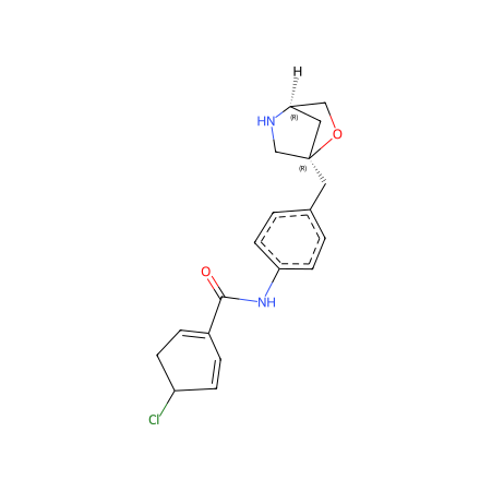 O=C(Nc1ccc(C[C@@]23CN[C@@H](CO2)C3)cc1)C1=CCC(Cl)C=C1